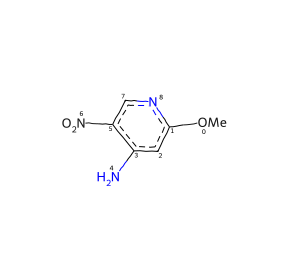 COc1cc(N)c([N+](=O)[O-])cn1